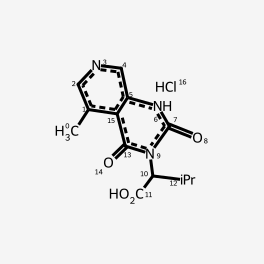 Cc1cncc2[nH]c(=O)n(C(C(=O)O)C(C)C)c(=O)c12.Cl